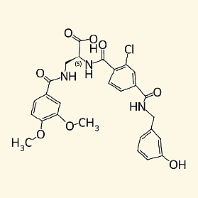 COc1ccc(C(=O)NC[C@H](NC(=O)c2ccc(C(=O)NCc3cccc(O)c3)cc2Cl)C(=O)O)cc1OC